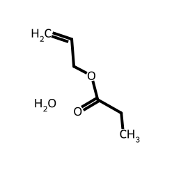 C=CCOC(=O)CC.O